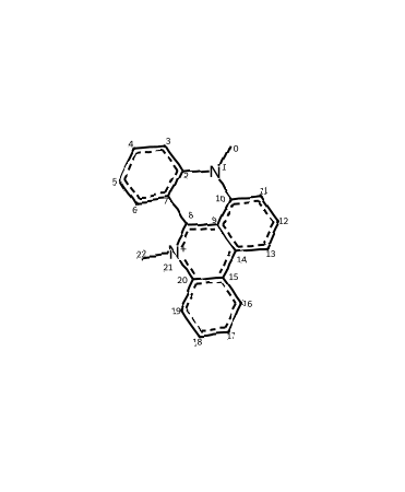 CN1c2ccccc2-c2c3c1cccc3c1ccccc1[n+]2C